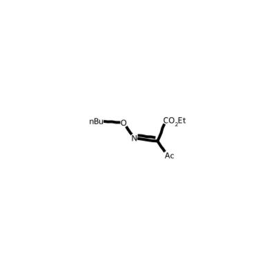 CCCCON=C(C(C)=O)C(=O)OCC